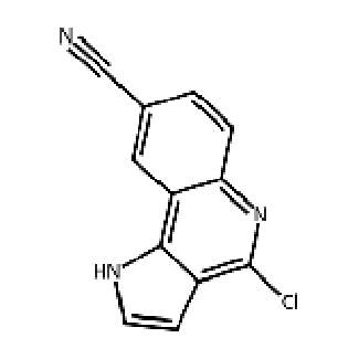 N#Cc1ccc2nc(Cl)c3cc[nH]c3c2c1